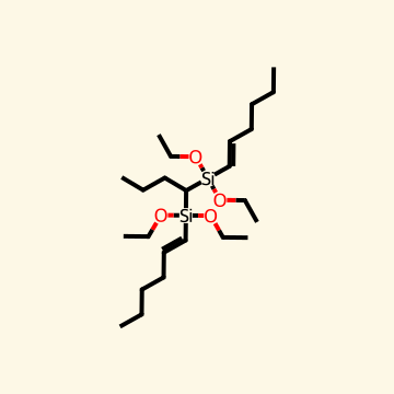 CCCCC=C[Si](OCC)(OCC)C(CCC)[Si](C=CCCCC)(OCC)OCC